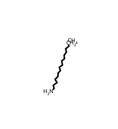 C.CCCCCCCCCCCCCCCCN